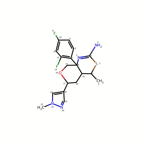 CC1SC(N)=NC2(c3ccc(F)cc3F)COC(c3cnn(C)c3)CC12